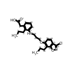 CCCc1c(CC(=O)O)cccc1NCCCOc1ccc2c(Cl)noc2c1CCC